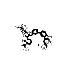 CC(C)(CO)Cc1c(I)[nH]c2ccc(-c3cccc(CC(NC(=O)OC(C)(C)C)C(=O)N4CCC[C@@H](C(=O)O)N4)c3)cc12